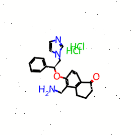 Cl.Cl.NCc1c(O[C@H](Cn2ccnc2)c2ccccc2)ccc2c1CCCC2=O